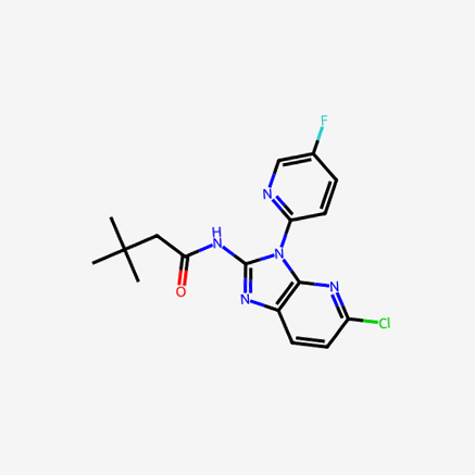 CC(C)(C)CC(=O)Nc1nc2ccc(Cl)nc2n1-c1ccc(F)cn1